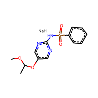 COC(C)Oc1cnc(NS(=O)(=O)c2ccccc2)nc1.[NaH]